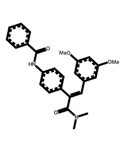 COc1cc(/C=C(/C(=O)N(C)C)c2ccc(NC(=O)c3ccccc3)cc2)cc(OC)c1